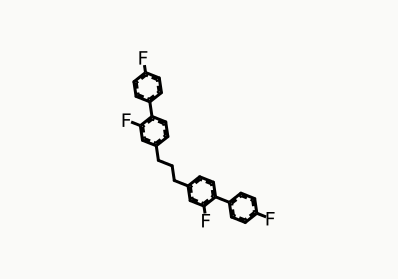 Fc1ccc(-c2ccc(CCCc3ccc(-c4ccc(F)cc4)c(F)c3)cc2F)cc1